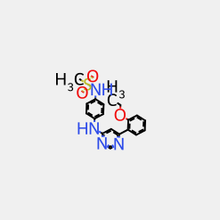 CCOc1ccccc1-c1cc(Nc2ccc(NS(C)(=O)=O)cc2)ncn1